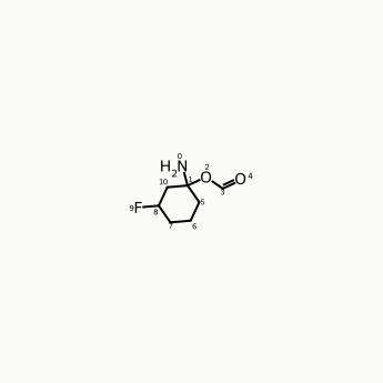 NC1(OC=O)CCCC(F)C1